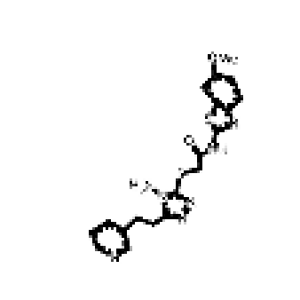 COc1ccc2nc(NC(=O)CSc3nnc(CCc4cccnc4)n3N)sc2c1